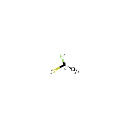 C[C@@H](F)[S]